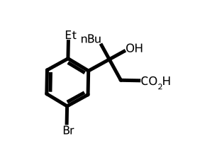 CCCCC(O)(CC(=O)O)c1cc(Br)ccc1CC